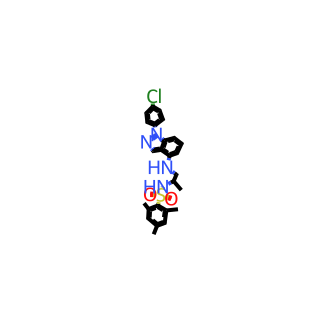 Cc1cc(C)c(S(=O)(=O)NC(C)CNc2cccc3c2cnn3-c2ccc(Cl)cc2)c(C)c1